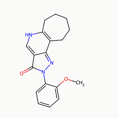 COc1ccccc1-n1nc2c3c([nH]cc-2c1=O)CCCCC3